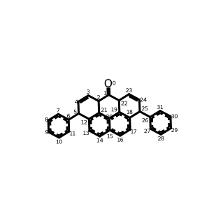 O=C1C2C=CC(c3ccccc3)c3ccc4ccc5c(c4c32)C1C=CC5c1ccccc1